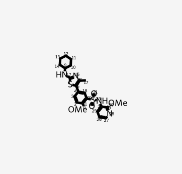 COc1ccc(-c2sc(NC3CCCCC3)nc2C)cc1S(=O)(=O)Nc1cccnc1OC